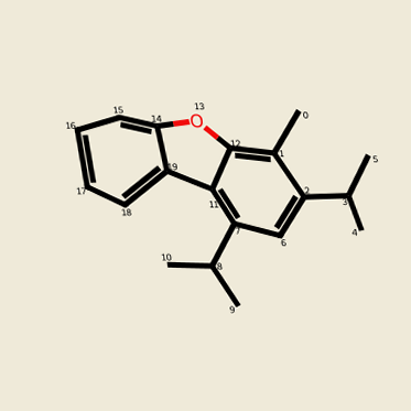 Cc1c(C(C)C)cc(C(C)C)c2c1oc1ccccc12